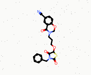 N#Cc1ccc2c(c1)C(=O)N(CCCOC1SC(=O)N(Cc3ccccc3)C1=O)CO2